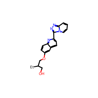 CCC(CO)COc1ccc2nc(-c3nnc4ccccn34)ccc2c1